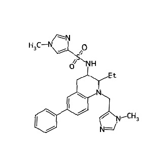 CCC1C(NS(=O)(=O)c2cn(C)cn2)Cc2cc(-c3ccccc3)ccc2N1Cc1cncn1C